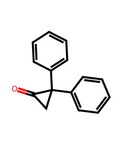 O=C1CC1(c1ccccc1)c1ccccc1